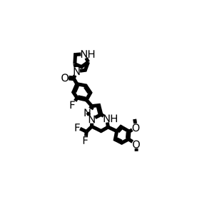 COc1ccc(C2CC(C(F)F)n3nc(-c4ccc(C(=O)N5CC6CC5CN6)cc4F)cc3N2)cc1OC